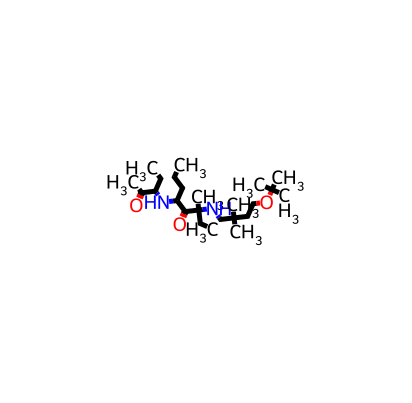 CCCC(NC(CC)C(C)=O)C(=O)C(C)(CC)NCC(C)(C)CCOC(C)(C)C